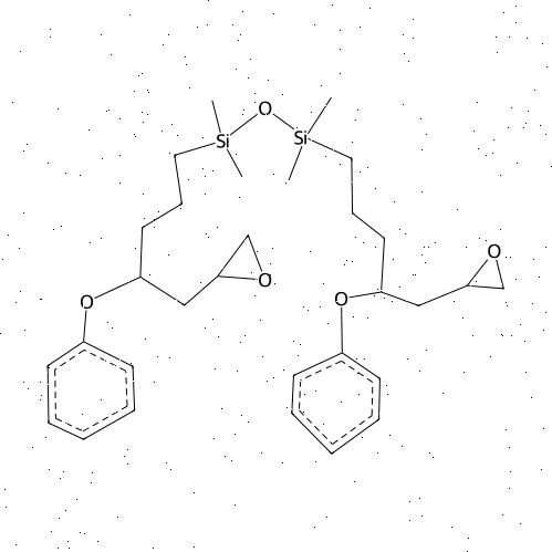 C[Si](C)(CCCC(CC1CO1)Oc1ccccc1)O[Si](C)(C)CCCC(CC1CO1)Oc1ccccc1